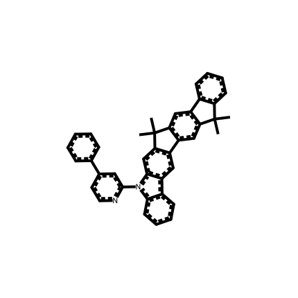 CC1(C)c2ccccc2-c2cc3c(cc21)-c1cc2c4ccccc4n(-c4cc(-c5ccccc5)ccn4)c2cc1C3(C)C